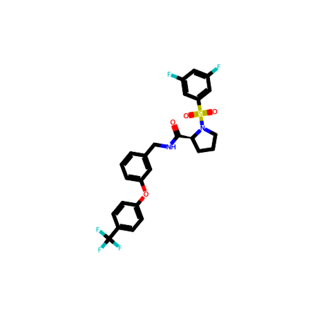 O=C(NCc1cccc(Oc2ccc(C(F)(F)F)cc2)c1)[C@@H]1CCCN1S(=O)(=O)c1cc(F)cc(F)c1